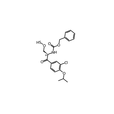 CC(C)Oc1ccc(C(=O)[C@@H](COS)NC(=O)OCc2ccccc2)cc1Cl